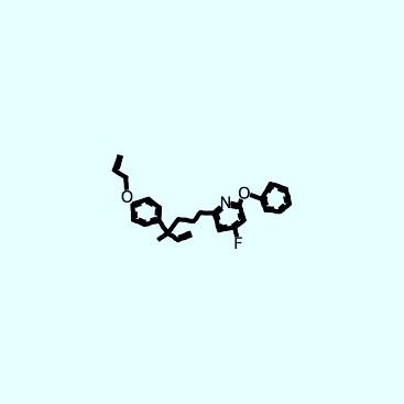 C=CCOc1ccc(C(C)(C=C)CCCc2cc(F)cc(Oc3ccccc3)n2)cc1